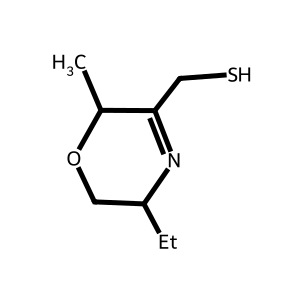 CCC1COC(C)C(CS)=N1